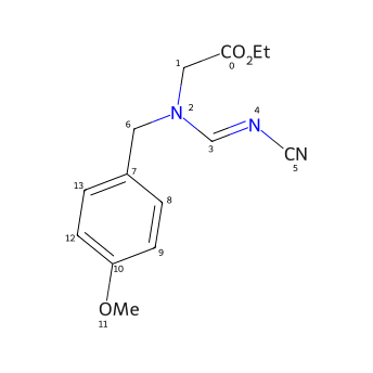 CCOC(=O)CN(C=NC#N)Cc1ccc(OC)cc1